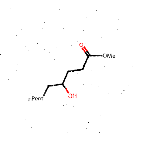 CCCCCCC(O)CCC(=O)OC